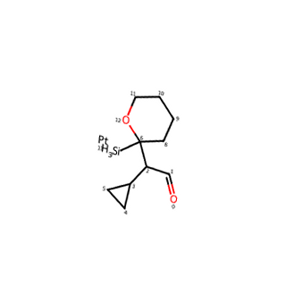 O=CC(C1CC1)C1([SiH3])CCCCO1.[Pt]